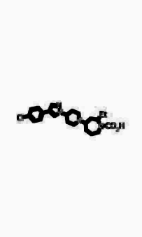 CCC1CC(N2CCC(n3cc(-c4ccc(Cl)cc4)cn3)CC2)CCCN1C(=O)O